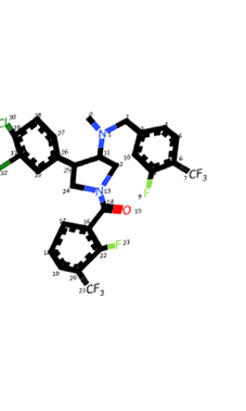 CN(Cc1ccc(C(F)(F)F)c(F)c1)C1CN(C(=O)c2cccc(C(F)(F)F)c2F)CC1c1ccc(Cl)c(Cl)c1